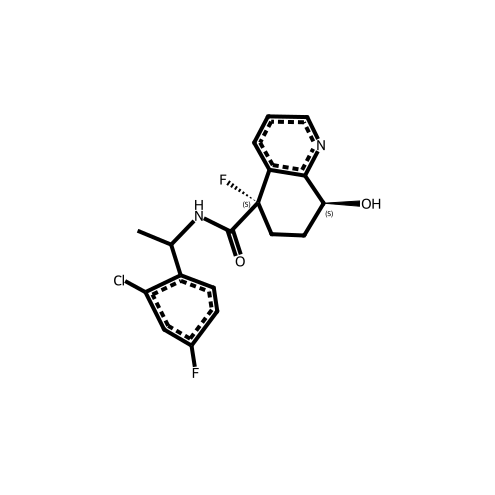 CC(NC(=O)[C@]1(F)CC[C@H](O)c2ncccc21)c1ccc(F)cc1Cl